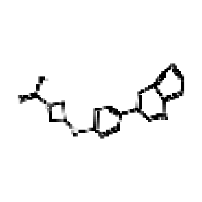 CC(C)C(=O)N1CC(Oc2ccc(-c3cnc4ccccc4c3)cc2)C1